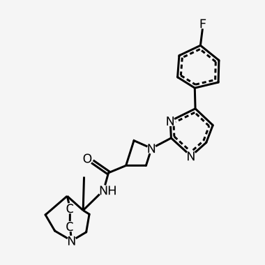 CC1(NC(=O)C2CN(c3nccc(-c4ccc(F)cc4)n3)C2)CCN2CCC1CC2